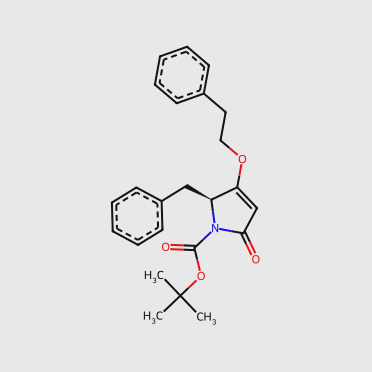 CC(C)(C)OC(=O)N1C(=O)C=C(OCCc2ccccc2)[C@@H]1Cc1ccccc1